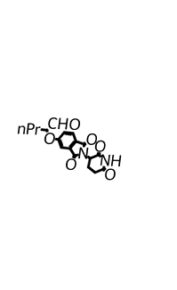 CCCC(C=O)Oc1ccc2c(c1)C(=O)N(C1CCC(=O)NC1=O)C2=O